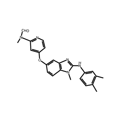 Cc1ccc(Nc2nc3cc(Oc4ccnc(N(C)C=O)c4)ccc3n2C)cc1C